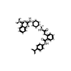 CC(C)c1ccc(NC(=O)c2ccccc2CC(=O)NC[C@H]2CC[C@@H](Nc3nc(N(C)C)c4ccccc4n3)CC2)cc1